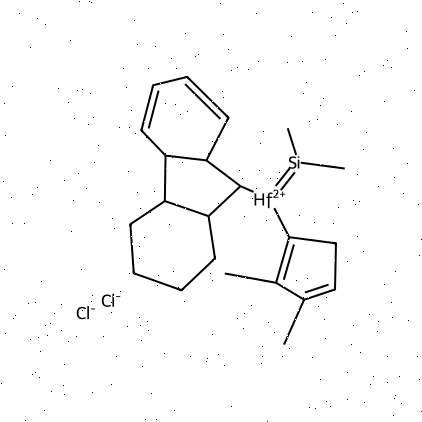 CC1=CC[C]([Hf+2]([CH]2C3C=CC=CC3C3CCCCC32)=[Si](C)C)=C1C.[Cl-].[Cl-]